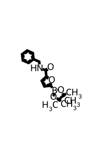 CC1(C)OB(c2ccc(C(=O)NCc3ccccc3)o2)OC1(C)C